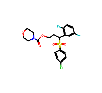 O=C(OCCC(c1cc(F)ccc1F)S(=O)(=O)c1ccc(Cl)cc1)N1CCOCC1